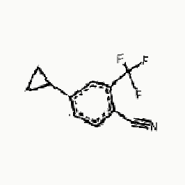 N#Cc1c[c]c(C2CC2)cc1C(F)(F)F